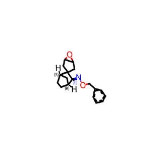 c1ccc(CO/N=C2\[C@@H]3CC[C@@H](C3)C23CC2OC2C3)cc1